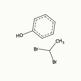 CC(Br)Br.Oc1ccccc1